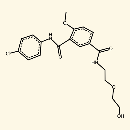 COc1ccc(C(=O)NCCOCCO)cc1C(=O)Nc1ccc(Cl)cc1